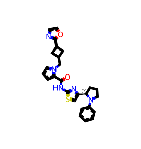 O=C(Nc1nc([C@H]2CCCN2c2ccccc2)cs1)c1cccn1CC1CC(c2ncco2)C1